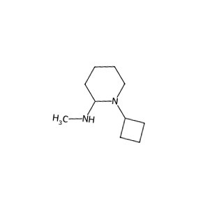 CNC1CCCCN1C1CCC1